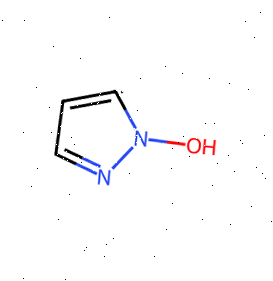 On1[c]ccn1